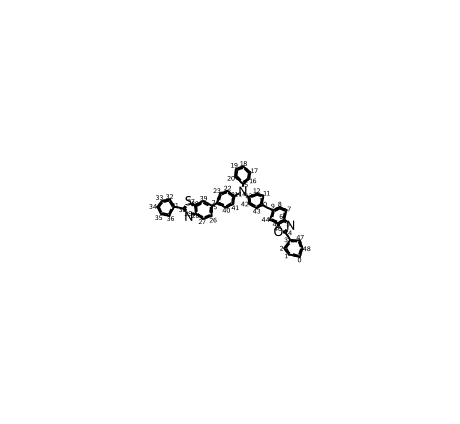 c1ccc(-c2nc3ccc(-c4ccc(N(c5ccccc5)c5ccc(-c6ccc7nc(-c8ccccc8)sc7c6)cc5)cc4)cc3o2)cc1